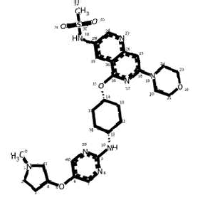 CN1CCC(Oc2cnc(N[C@H]3CC[C@@H](Oc4nc(N5CCOCC5)cc5ncc(NS(C)(=O)=O)cc45)CC3)nc2)C1